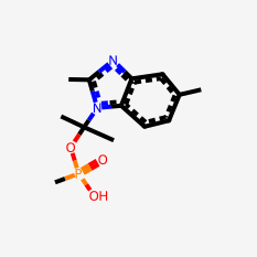 Cc1ccc2c(c1)nc(C)n2C(C)(C)OP(C)(=O)O